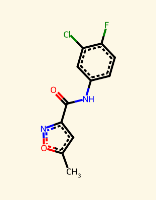 Cc1cc(C(=O)Nc2ccc(F)c(Cl)c2)no1